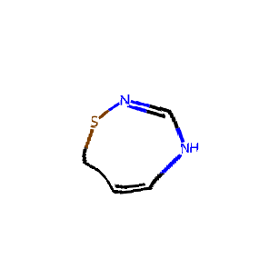 C1=CNC=NSC1